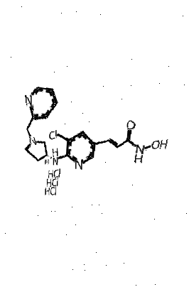 Cl.Cl.Cl.O=C(C=Cc1cnc(N[C@@H]2CCN(Cc3ccccn3)C2)c(Cl)c1)NO